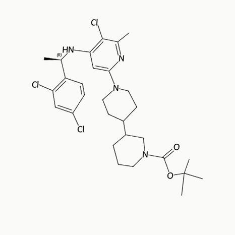 Cc1nc(N2CCC(C3CCCN(C(=O)OC(C)(C)C)C3)CC2)cc(N[C@H](C)c2ccc(Cl)cc2Cl)c1Cl